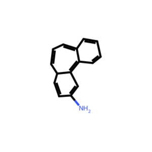 NC1=CC2=c3ccccc3=CC=CC2C=C1